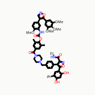 CCNC(=O)c1noc(-c2cc(C(C)C)c(O)cc2O)c1-c1ccc(CN2CCN(C(=O)c3cc(C)c(OC(=O)Nc4cc(-c5cnoc5-c5cc(OC)c(OC)c(OC)c5)ccc4OC)c(C)c3)CC2)cc1